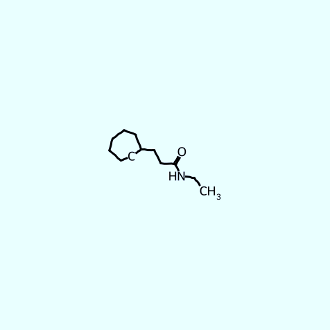 CCNC(=O)CCC1CCCCCC1